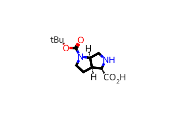 CC(C)(C)OC(=O)N1CC[C@@H]2[C@H](C(=O)O)NC[C@@H]21